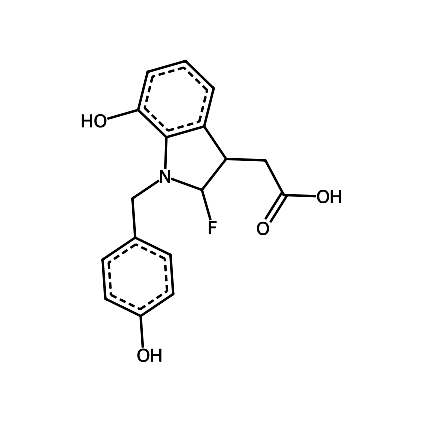 O=C(O)CC1c2cccc(O)c2N(Cc2ccc(O)cc2)C1F